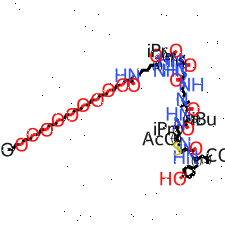 CC[C@H](C)[C@H](NC(=O)C(C)(C)N(C)CCNC(=O)CNC(=O)[C@H](C)NC(=O)[C@@H](NC(=O)[C@@H](N)CCCCNC(=O)COCCOCCOCCOCCOCCOCCOCCOCCOCCOC)C(C)C)C(=O)N(C)[C@H](C[C@@H](OC(C)=O)c1nc(C(=O)N[C@@H](Cc2ccc(O)cc2)C[C@H](C)C(=O)O)cs1)C(C)C